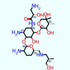 C[C@@H](CO)CNC[C@@H]1CCC(N)[C@@H](OC2C(O)C(O[C@H]3OCC(C)(O)[C@H](C)C3O)[C@H](NC(=O)[C@@H](O)CN)C[C@@H]2N)O1